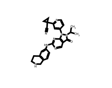 CC(C)n1c(=O)c2cnc(Nc3ccc4c(c3)CCNC4)nc2n1-c1ccnc(C2(C#N)CC2)c1